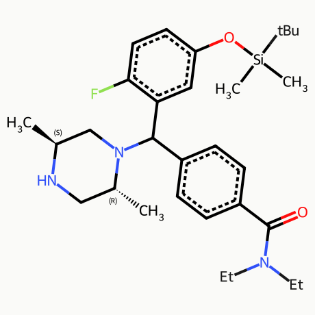 CCN(CC)C(=O)c1ccc(C(c2cc(O[Si](C)(C)C(C)(C)C)ccc2F)N2C[C@H](C)NC[C@H]2C)cc1